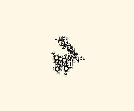 CCCCC(CC)CN(C)S(=O)(=O)c1ccc2nc(-n3nc(C(C)(C)C)c(C#N)c3N=Nc3c(C)cc(N(c4nc5ccccc5s4)c4c(C)cc(C)cc4C)nc3Nc3c(C)cc(C)cc3C)sc2c1